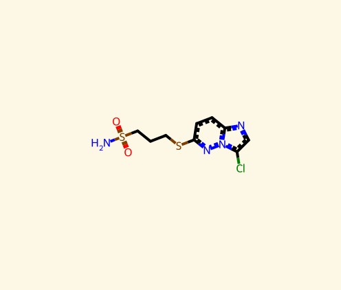 NS(=O)(=O)CCCSc1ccc2ncc(Cl)n2n1